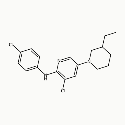 CCC1CCCN(c2cnc(Nc3ccc(Cl)cc3)c(Cl)c2)C1